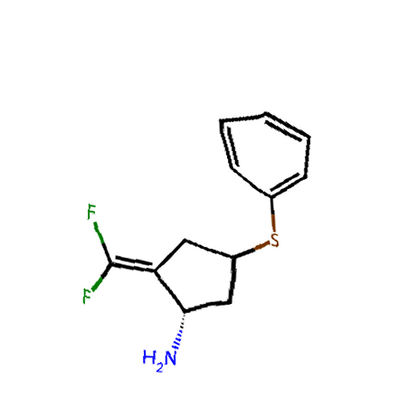 N[C@H]1CC(Sc2ccccc2)CC1=C(F)F